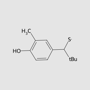 Cc1cc(C([S])C(C)(C)C)ccc1O